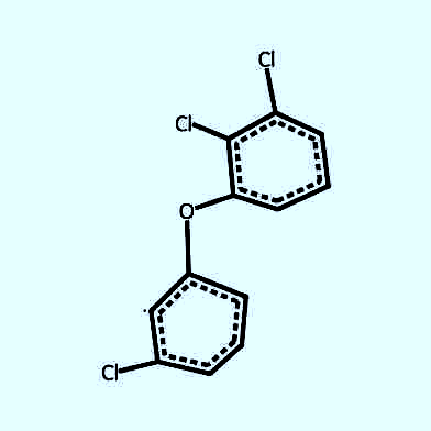 Clc1[c]c(Oc2cccc(Cl)c2Cl)ccc1